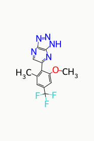 COc1cc(C(F)(F)F)cc(C)c1-c1cnc2nn[nH]c2n1